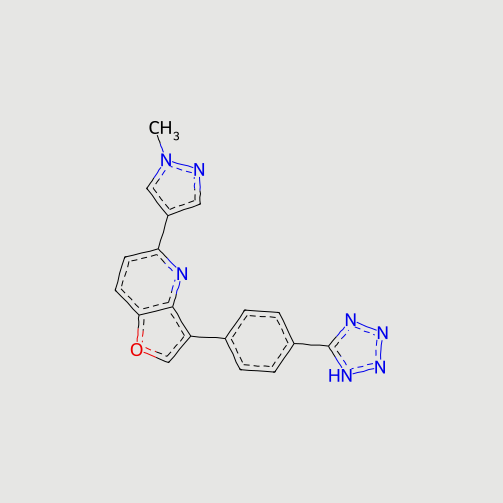 Cn1cc(-c2ccc3occ(-c4ccc(-c5nnn[nH]5)cc4)c3n2)cn1